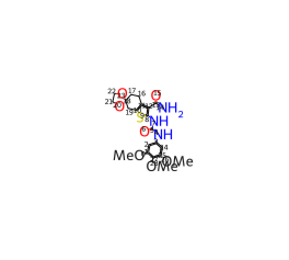 COc1cc(NC(=O)Nc2sc3c(c2C(N)=O)CCC2(C3)OCCO2)cc(OC)c1OC